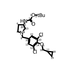 CC(C)(C)OC(=O)N[C@@H]1CCN(Cc2cc(Cl)c(OCC3CC3)c(Cl)c2)C1